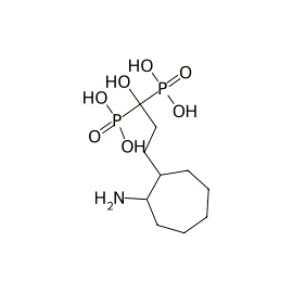 NC1CCCCCC1CCC(O)(P(=O)(O)O)P(=O)(O)O